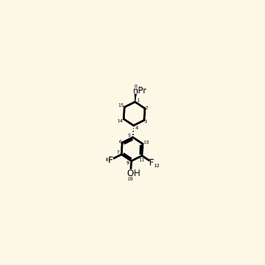 CCC[C@H]1CC[C@H](c2cc(F)c(O)c(F)c2)CC1